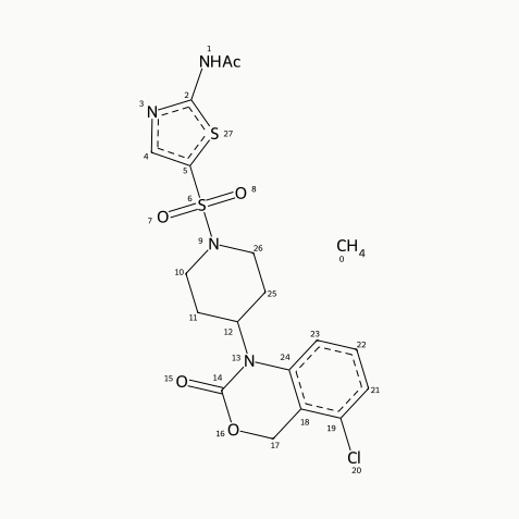 C.CC(=O)Nc1ncc(S(=O)(=O)N2CCC(N3C(=O)OCc4c(Cl)cccc43)CC2)s1